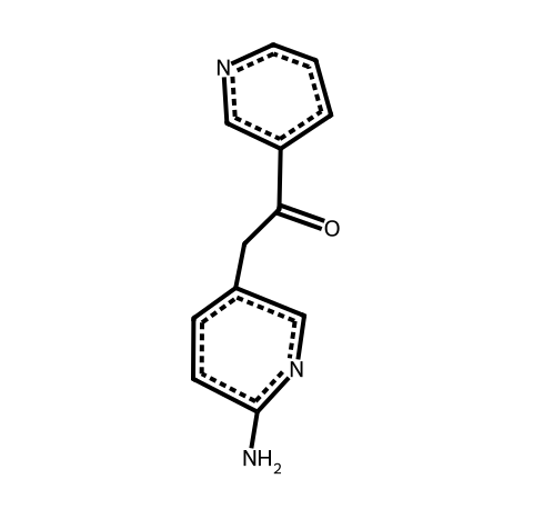 Nc1ccc(CC(=O)c2cccnc2)cn1